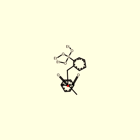 CCO[Si](OCC)(OCC)c1ccccc1Cn1c(=O)c2ccc(cc2)c1=O